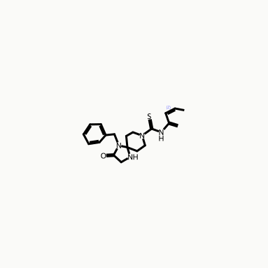 C=C(/C=C\C)NC(=S)N1CCC2(CC1)NCC(=O)N2Cc1ccccc1